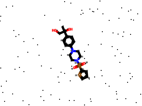 CC(O)(CO)c1ccc(N2CCN(S(=O)(=O)c3cccs3)CC2)cc1